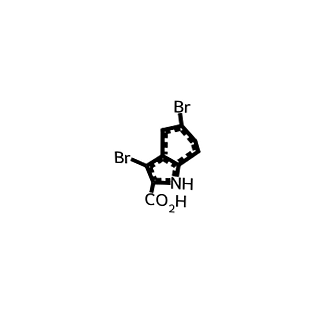 O=C(O)c1[nH]c2ccc(Br)cc2c1Br